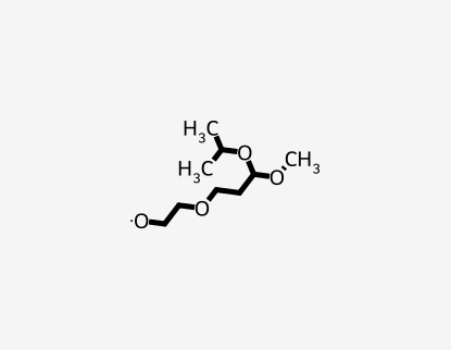 COC(CCOCC[O])OC(C)C